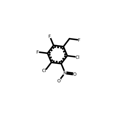 O=[N+]([O-])c1c(Cl)c(F)c(F)c(CF)c1Cl